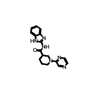 O=C(Nc1nc2ccccc2[nH]1)C1CCCN(c2cnccn2)C1